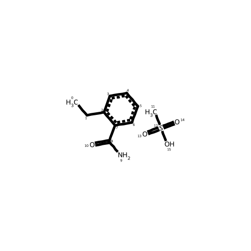 CCc1ccccc1C(N)=O.CS(=O)(=O)O